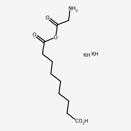 NCC(=O)OC(=O)CCCCCCCC(=O)O.[KH].[KH]